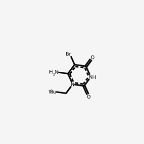 CC(C)(C)Cn1c(N)c(Br)c(=O)[nH]c1=O